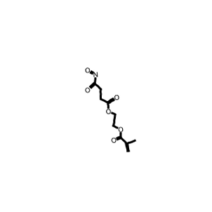 C=C(C)C(=O)OCCOC(=O)CCC(=O)N=O